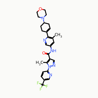 Cc1cc(NC(=O)c2cnn(-c3ccc(C(F)(F)F)cn3)c2C)cnc1C1=CC[C@H](N2CCOCC2)CC1